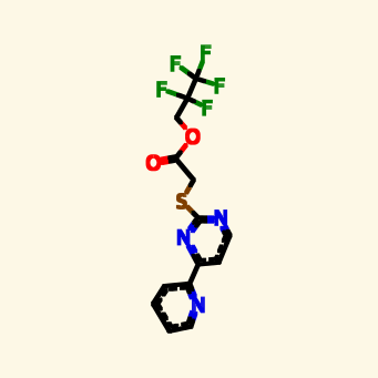 O=C(CSc1nccc(-c2ccccn2)n1)OCC(F)(F)C(F)(F)F